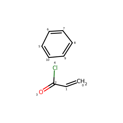 C=CC(=O)Cl.c1ccccc1